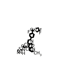 Cc1ccc2c(n1)Oc1nc(-c3ccc(C(=O)N4CCC(F)(F)C4)c(F)c3)ccc1[C@H]2C(C)(C)C(=O)Nc1nncs1